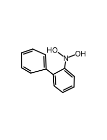 ON(O)c1ccccc1-c1ccccc1